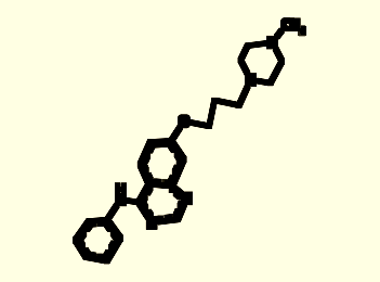 CN1CCN(CCCOc2ccc3c(Nc4ccccc4)ncnc3c2)CC1